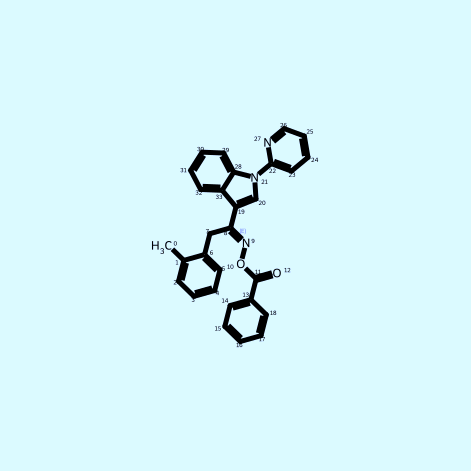 Cc1ccccc1C/C(=N\OC(=O)c1ccccc1)c1cn(-c2ccccn2)c2ccccc12